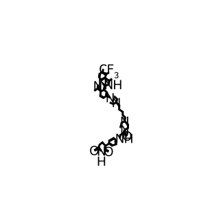 Cc1c(C(C)Nc2nnc(C)c3ccc(N4CCN(CCCCCN5CCN(C(=O)CNc6ccc(C7CCC(=O)NC7=O)cc6)CC5)CC4)cc23)cccc1C(F)(F)F